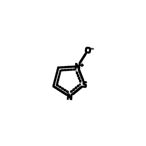 [O-][n+]1ccns1